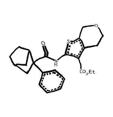 CCOC(=O)c1c(NC(=O)C2(c3ccccc3)CC3CCC2C3)sc2c1CCOC2